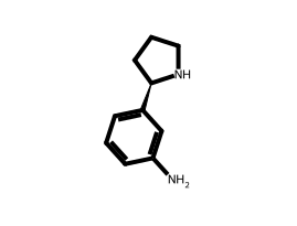 Nc1cccc([C@H]2CCCN2)c1